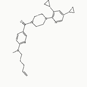 C=CCCCN(C)c1ccc(C(=O)N2CCN(c3ncc(C4CC4)cc3C3CC3)CC2)cn1